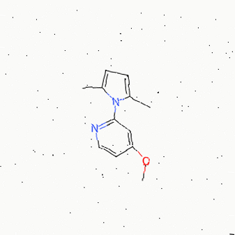 COc1ccnc(-n2c(C)ccc2C)c1